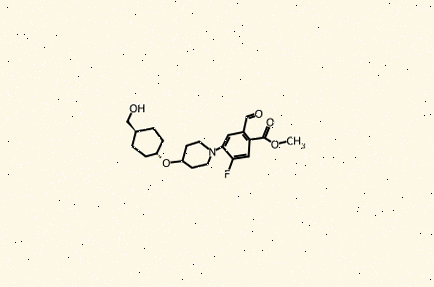 COC(=O)c1cc(F)c(N2CCC(O[C@H]3CC[C@H](CO)CC3)CC2)cc1C=O